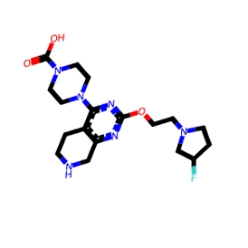 O=C(O)N1CCN(c2nc(OCCN3CCC(F)C3)nc3c2CCNC3)CC1